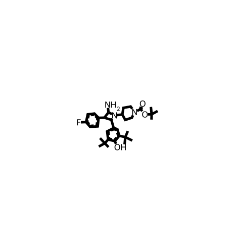 CC(C)(C)OC(=O)N1CCC(N2C(N)C(c3ccc(F)cc3)C2c2cc(C(C)(C)C)c(O)c(C(C)(C)C)c2)CC1